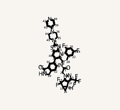 O=C(Cn1nc(C(F)(F)F)c2c1C(F)(F)C1C[C@H]21)N[C@@H](Cc1cc(F)cc(F)c1)c1nc2nc(N3CCN(c4ccncc4)CC3)sc2cc1-c1ccc2c(c1)C(=O)NC2